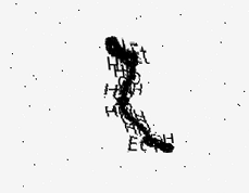 CCc1cc(CNC(=O)CCC(=O)NNS(=O)(=O)c2ccc(S(=O)(=O)NNC(=O)CCC(=O)NCc3cc(CC)cc(-n4nc5ccccc5n4)c3O)cc2)c(O)c(-n2nc3ccccc3n2)c1